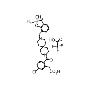 CC1(C)Cc2cccc(CN3CCC4(CC3)CCN(C(=O)c3ccc(Cl)cc3CC(=O)O)CC4)c2O1.O=C(O)C(F)(F)F